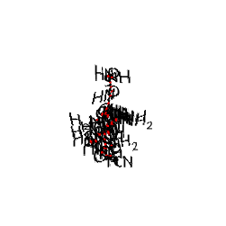 N#Cc1nc2ccc(NC(=O)C(Cc3ccc(O)cc3)NC(=O)C(CCC(N)=O)NC(=O)C(CCC(N)=O)NC(=O)C(CO)NC(=O)C(CCCCN)NC(=O)C(CCCNC(=N)N)NC(=O)C(CO)NC(=O)CCCCCNC(=O)CCCCC3SCC4NC(=O)NC43)cc2s1